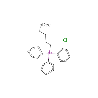 CCCCCCCCCCCCCC[P+](c1ccccc1)(c1ccccc1)c1ccccc1.[Cl-]